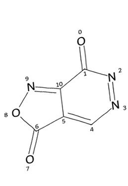 O=C1N=NC=C2C(=O)ON=C12